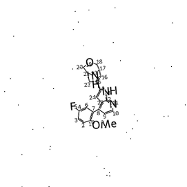 COc1ccc(F)cc1-c1ccnc2[nH]c(C3=CC4COCC(C3)N4)cc12